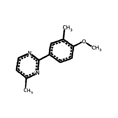 COc1ccc(-c2nccc(C)n2)cc1C